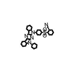 N#Cc1ccccc1S(=O)(=O)c1ccc(-n2c3ccccc3c3nc4c5ccccc5n(-c5ccccc5)c4nc32)cc1